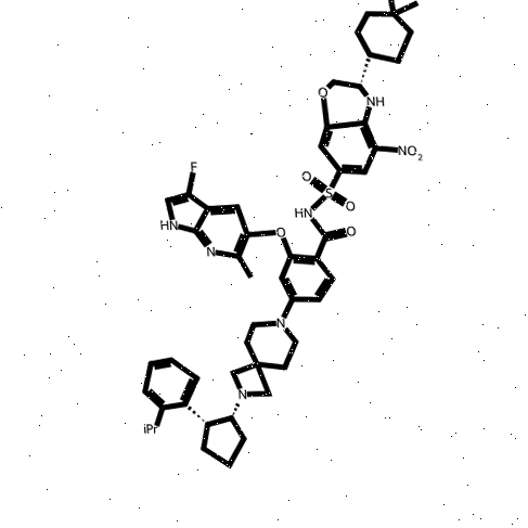 Cc1nc2[nH]cc(F)c2cc1Oc1cc(N2CCC3(CC2)CN([C@@H]2CCC[C@@H]2c2ccccc2C(C)C)C3)ccc1C(=O)NS(=O)(=O)c1cc2c(c([N+](=O)[O-])c1)N[C@@H](C1CCC(C)(C)CC1)CO2